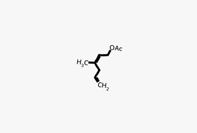 C=CCC(C)=CCOC(C)=O